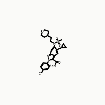 CNC(=O)c1c2cc(C3CC3)c(N(CCC3CCOCC3)S(C)(=O)=O)cc2nn1-c1ccc(Cl)cc1